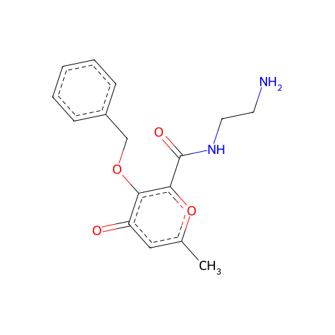 Cc1cc(=O)c(OCc2ccccc2)c(C(=O)NCCN)o1